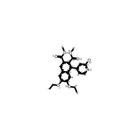 CCOc1cc2cc(C(=O)OC)c(C(=O)OC)c(-c3ccnc(Cl)c3)c2cc1OCC